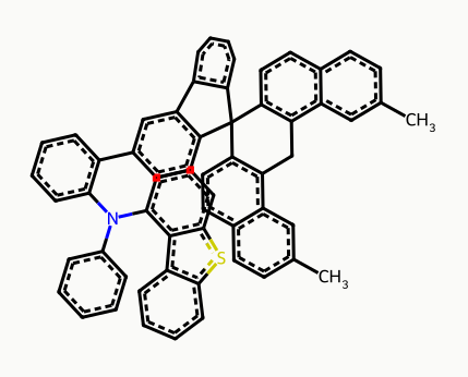 Cc1ccc2ccc3c(c2c1)Cc1c(ccc2ccc(C)cc12)C31c2ccccc2-c2cc(-c3ccccc3N(c3ccccc3)c3cccc4sc5ccccc5c34)ccc21